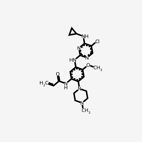 C=CC(=O)Nc1cc(Nc2ncc(Cl)c(NC3CC3)n2)c(OC)cc1N1CCN(C)CC1